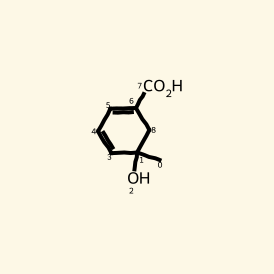 CC1(O)C=CC=C(C(=O)O)C1